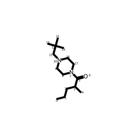 CCCC(C)C(=O)N1CCN(CC(C)(C)C)CC1